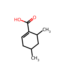 CC1CC=C(C(=O)O)C(C)C1